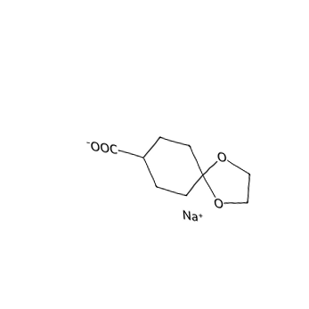 O=C([O-])C1CCC2(CC1)OCCO2.[Na+]